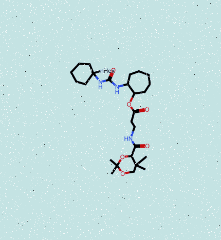 CCCCCCC1(NC(=O)NC2CCCCCC2OC(=O)CCNC(=O)C2OC(C)(C)OCC2(C)C)CCCCC1